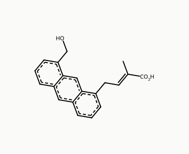 CC(=CCc1cccc2cc3cccc(CO)c3cc12)C(=O)O